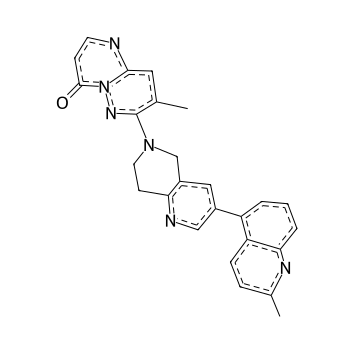 Cc1ccc2c(-c3cnc4c(c3)CN(c3nn5c(=O)ccnc5cc3C)CC4)cccc2n1